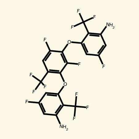 Nc1cc(F)cc(Oc2c(F)cc(C(F)(F)F)c(Oc3cc(F)cc(N)c3C(F)(F)F)c2F)c1C(F)(F)F